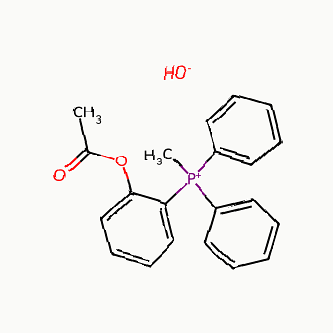 CC(=O)Oc1ccccc1[P+](C)(c1ccccc1)c1ccccc1.[OH-]